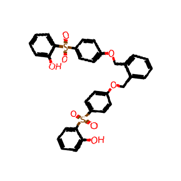 O=S(=O)(c1ccc(OCc2ccccc2COc2ccc(S(=O)(=O)c3ccccc3O)cc2)cc1)c1ccccc1O